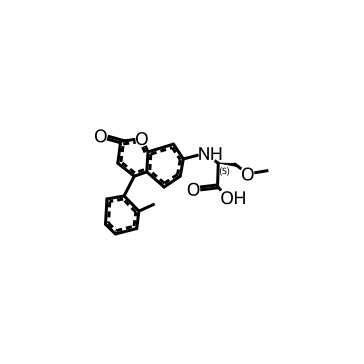 COC[C@H](Nc1ccc2c(-c3ccccc3C)cc(=O)oc2c1)C(=O)O